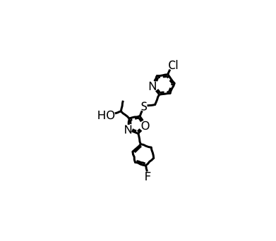 CC(O)c1nc(C2=CC=C(F)CC2)oc1SCc1ccc(Cl)cn1